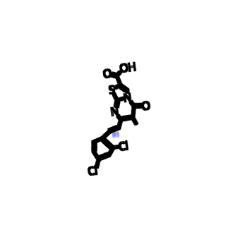 Cc1c(/C=C/c2ccc(Cl)cc2Cl)nc2sc(C(=O)O)cn2c1=O